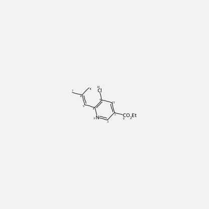 CCOC(=O)c1cnc(C=C(C)C)c(Cl)c1